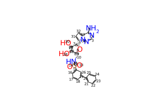 Nc1ncnn2c([C@@H]3O[C@H](CNS(=O)(=O)c4cccc(-c5ccccc5)c4)[C@@H](O)[C@H]3O)ccc12